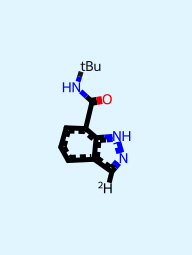 [2H]c1n[nH]c2c(C(=O)NC(C)(C)C)cccc12